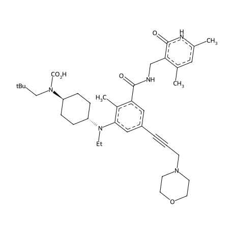 CCN(c1cc(C#CCN2CCOCC2)cc(C(=O)NCc2c(C)cc(C)[nH]c2=O)c1C)[C@H]1CC[C@H](N(CC(C)(C)C)C(=O)O)CC1